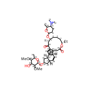 CC[C@H]1CCC[C@H](OC2CC[C@H](N(C)C)C(C)O2)[C@@H](C)C(=O)C2=C[C@@H]3[C@@H](C=C[C@@H]4C[C@@H](O[C@@H]5OC(C)[C@H](OC)C(O)C5OC)C[C@@H]34)[C@@H]2CC(=O)O1